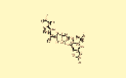 CC(=O)N(C)c1cnn(C(=O)N2CC3CN(Cc4ccc(OC(C)C)cc4C(F)(F)F)CC3C2)c1